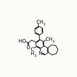 Cc1ccc(-c2c(CC(=O)O)c(C)c3ncc4c(c3c2C)CCCCC4)cc1